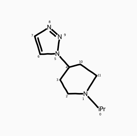 CC(C)N1CCC(n2ccnn2)CC1